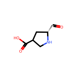 O=C[C@H]1CC(C(=O)O)CN1